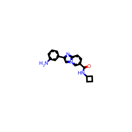 Nc1cccc(-c2cn3cc(C(=O)NC4CCC4)ccc3n2)c1